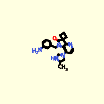 CC1CN(c2ccnc3c2N(Cc2cccc(N)c2)C(=O)C32CCC2)CN1